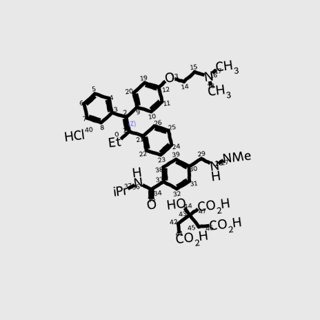 CC/C(=C(\c1ccccc1)c1ccc(OCCN(C)C)cc1)c1ccccc1.CNNCc1ccc(C(=O)NC(C)C)cc1.Cl.O=C(O)CC(O)(CC(=O)O)C(=O)O